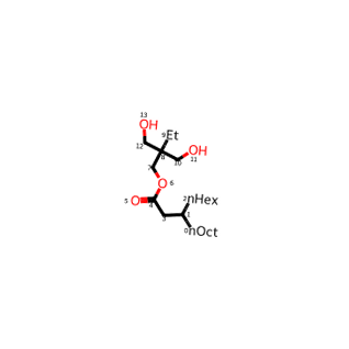 CCCCCCCCC(CCCCCC)CC(=O)OCC(CC)(CO)CO